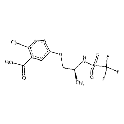 C[C@@H](COc1cc(C(=O)O)c(Cl)cn1)NS(=O)(=O)C(F)(F)F